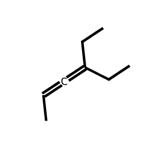 CC=C=C(CC)CC